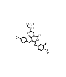 CC(C)Oc1ccc(/N=c2\[nH]c(=O)n(CC(=O)NCC(=O)O)c(=O)n2Cc2ccc(Cl)cc2)cc1F